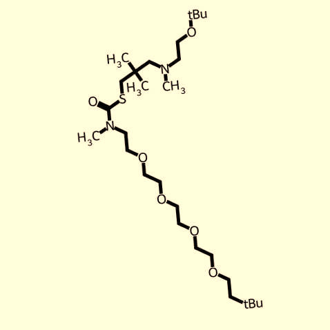 CN(CCOC(C)(C)C)CC(C)(C)CSC(=O)N(C)CCOCCOCCOCCOCCC(C)(C)C